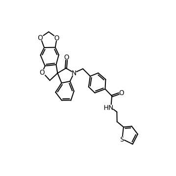 O=C(NCCc1cccs1)c1ccc(CN2C(=O)C3(COc4cc5c(cc43)OCO5)c3ccccc32)cc1